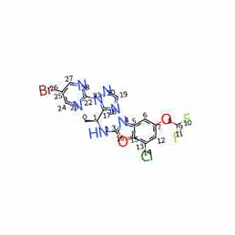 C[C@H](Nc1nc2cc(OC(F)F)cc(Cl)c2o1)c1ncnn1-c1ncc(Br)cn1